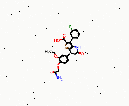 CCOc1cc(C2CC(=O)Nc3c2sc(C(=O)O)c3-c2cccc(F)c2)ccc1OCC(N)=O